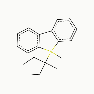 CCC(C)(CC)S1(C)c2ccccc2-c2ccccc21